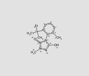 CCC(C)(C)c1cccc(C)c1-n1c(O)nn(C)c1=O